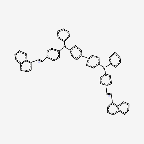 C(=C\c1cccc2ccccc12)/c1ccc(N(c2ccccc2)c2ccc(-c3ccc(N(c4ccccc4)c4ccc(/C=C/c5cccc6ccccc56)cc4)cc3)cc2)cc1